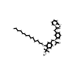 CCCCCCCCCCCCCCOc1cc(CN(C(C)=O)c2cccc(CC3=N[C+]=C4C=CC=CN43)c2)ccc1C(C)(C)C.[Br-]